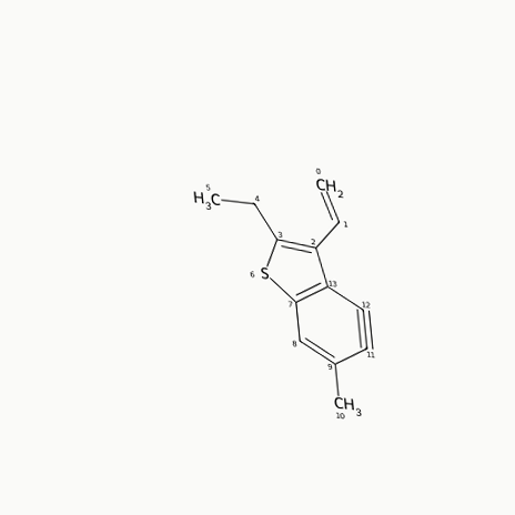 C=Cc1c(CC)sc2cc(C)c#cc12